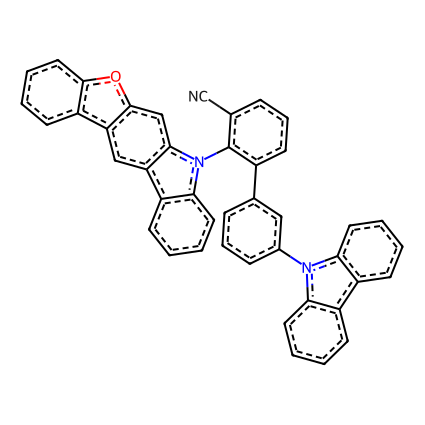 N#Cc1cccc(-c2cccc(-n3c4ccccc4c4ccccc43)c2)c1-n1c2ccccc2c2cc3c(cc21)oc1ccccc13